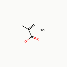 C=C(C)C(=O)[O-].[Pb+]